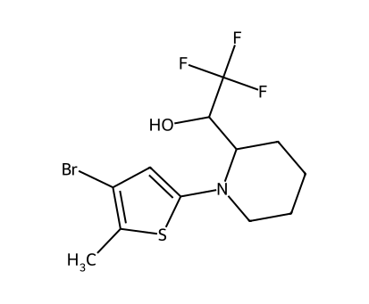 Cc1sc(N2CCCCC2C(O)C(F)(F)F)cc1Br